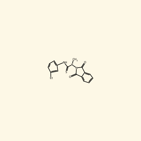 CCc1cccc(NC(=S)N(C)N2C(=O)c3ccccc3C2=O)c1